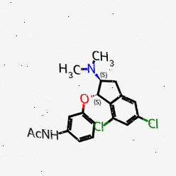 CC(=O)Nc1cccc(O[C@H]2c3c(Cl)cc(Cl)cc3C[C@@H]2N(C)C)c1